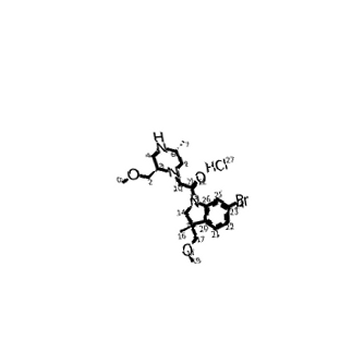 COC[C@H]1CN[C@H](C)CN1CC(=O)N1C[C@@](C)(COC)c2ccc(Br)cc21.Cl